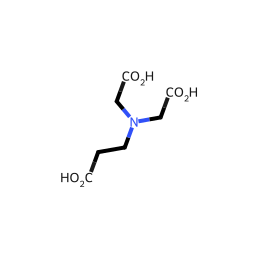 O=C(O)CCN(CC(=O)O)CC(=O)O